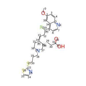 COc1ccc2nccc([C@H](F)CC[C@@H]3CCN(CCCSc4nccs4)C[C@H]3CCC(=O)O)c2c1